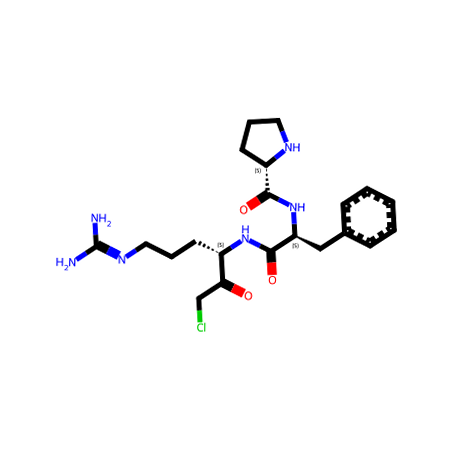 NC(N)=NCCC[C@H](NC(=O)[C@H](Cc1ccccc1)NC(=O)[C@@H]1CCCN1)C(=O)CCl